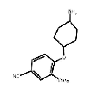 COc1cc(C#N)ccc1OC1CCC(N)CC1